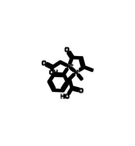 CC1=CC(=O)[N+](CC(=O)O)(c2ccccc2)[N+]1(C)CC(=O)O